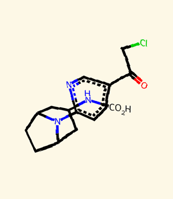 O=C(O)NC1CC2CCC(C1)N2c1ccc(C(=O)CCl)cn1